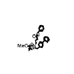 COC(=O)[C@H](C)C[C@@H](Cc1ccc(-c2ccccc2)cc1)NCCCC(=O)OCc1ccccc1